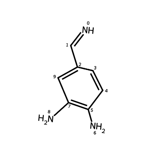 N=Cc1ccc(N)c(N)c1